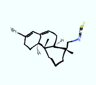 CC(C)C1=CC2=CC[C@H]3[C@](C)(CN=C=S)CCC[C@]3(C)[C@H]2CC1